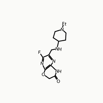 [CH2]CN1CCC(NCc2nc3c(nc2F)OCC(=O)N3)CC1